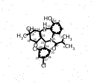 CC(C)C(=O)N1c2cccc(O)c2NC2=C(C(=O)CC(C)(C)C2)[C@@H]1c1ccc(Cl)cc1Cl